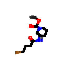 CC(C)(C)OC(=O)N1CCC[C@@H](NC(=O)CCCBr)C1